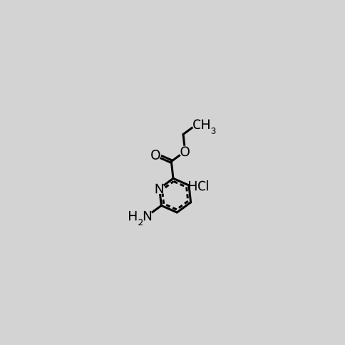 CCOC(=O)c1cccc(N)n1.Cl